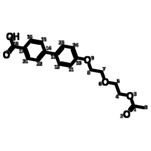 CC(=O)OCCOCCOc1ccc(-c2ccc(C(=O)O)cc2)cc1